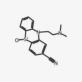 CN(C)CCN1c2ccccc2[S+]([O-])c2ccc(C#N)cc21